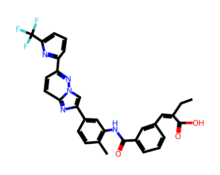 CCC(=Cc1cccc(C(=O)Nc2cc(-c3cn4nc(-c5cccc(C(F)(F)F)n5)ccc4n3)ccc2C)c1)C(=O)O